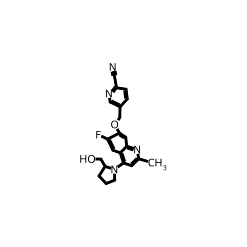 Cc1cc(N2CCCC2CO)c2cc(F)c(OCc3ccc(C#N)nc3)cc2n1